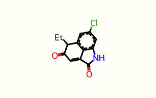 CCC1C(=O)C=C2C(=O)Nc3cc(Cl)cc1c32